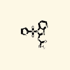 NC(=O)Sc1nc2ncccc2n1S(=O)(=O)c1cccs1